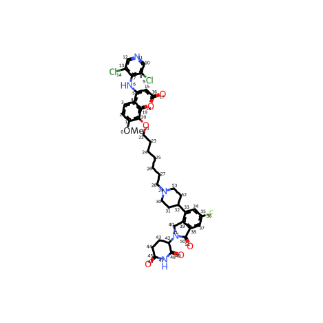 COc1ccc2c(Nc3c(Cl)cncc3Cl)cc(=O)oc2c1OCCCCCCCN1CCC(c2cc(F)cc3c2CN(C2CCC(=O)NC2=O)C3=O)CC1